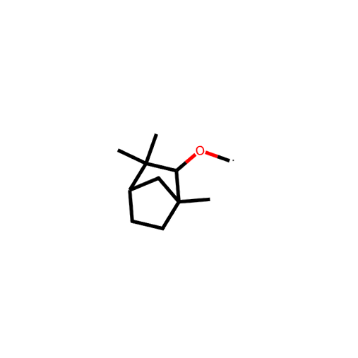 [CH2]OC1C2(C)CCC(C2)C1(C)C